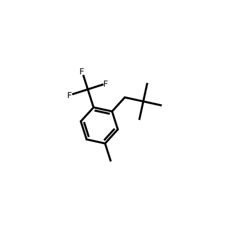 Cc1ccc(C(F)(F)F)c(CC(C)(C)C)c1